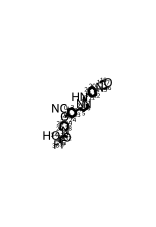 N#Cc1cc(-c2ccnc(Nc3ccc(N4CCOCC4)cc3)n2)ccc1OC1CCN(C(=O)[C@H](O)C(F)F)CC1